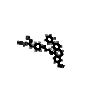 CCCc1ccc2c(c1)C=Cc1ccc(-c3ccccc3)cc1C2OCCOc1ccc(CC(OCC)C(=O)O)cc1